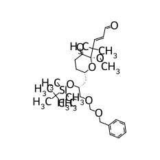 CO[C@]1(C(C)(C)/C=C/C=O)O[C@H](C[C@@H](O[Si](C)(C)C(C)(C)C)[C@@H](C)OCOCc2ccccc2)CCC1=O